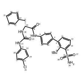 CC(C)(C)c1c(-c2ccc(NC(=O)[C@@H](Cc3ccccc3)NC(=O)Nc3ccc(Cl)cc3)cc2)cccc1S(N)(=O)=O